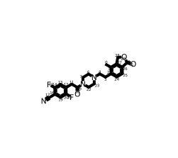 Cc1c(CCN2CCN(C(=O)Cc3cc(F)c(C#N)cc3F)CC2)ccc2c1COC2=O